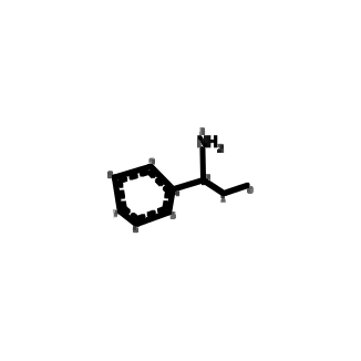 CC[C](N)c1ccccc1